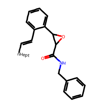 CCCCCCCC=Cc1ccccc1C1OC1C(=O)NCc1ccccc1